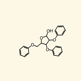 OC1OC(COc2ccccc2)C(Oc2ccccc2)C1Oc1ccccc1